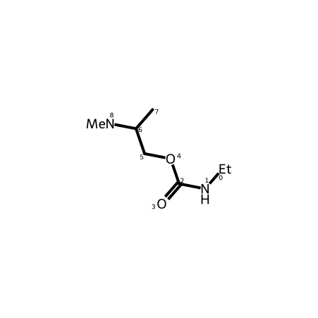 CCNC(=O)OCC(C)NC